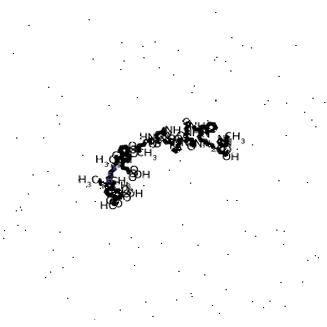 CCCN1/C(=C/C=C/C=C/C2=[N+](CCCS(=O)(=O)O)c3ccc4c(S(=O)(=O)N(C)CCCC(=O)NC(Cc5c[nH]cn5)C(=O)NCC(=O)N5CCCC5C(=O)NC(CC(N)=O)C(=O)NCC(=O)NCc5cc6c(nc5CCCCCC[C@@H](CC(=O)O)c5cnc(C)nc5)CCCC6)cccc4c3C2(C)C)C(C)(C)c2c1ccc1c(S(=O)(=O)O)cc(S(=O)(=O)O)cc21